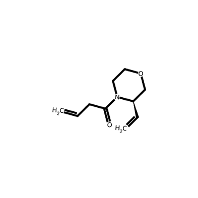 C=CCC(=O)N1CCOC[C@H]1C=C